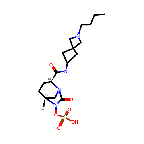 CCCCN1CC2(CC(NC(=O)[C@@H]3CC[C@@H]4CN3C(=O)N4OS(=O)(=O)O)C2)C1